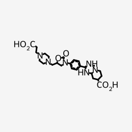 CN1CCC(C(=O)O)CC1NC(=N)c1ccc(N2CC(CN3CCN(CCC(=O)O)CC3)OC2=O)cc1